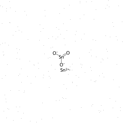 [O]=[Sn]([O-])[O-].[Sn+2]